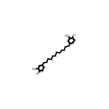 Oc1cc(CCCCCCCCCCCCc2ccc(F)c(O)c2)ccc1F